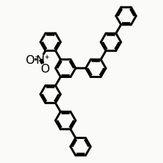 O=[N+]([O-])c1ccccc1-c1cc(-c2cccc(-c3ccc(-c4ccccc4)cc3)c2)cc(-c2cccc(-c3ccc(-c4ccccc4)cc3)c2)c1